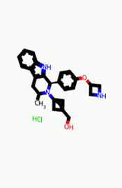 CC1Cc2c([nH]c3ccccc23)[C@@H](c2ccc(OC3CNC3)cc2)N1C12CC(CO)(C1)C2.Cl